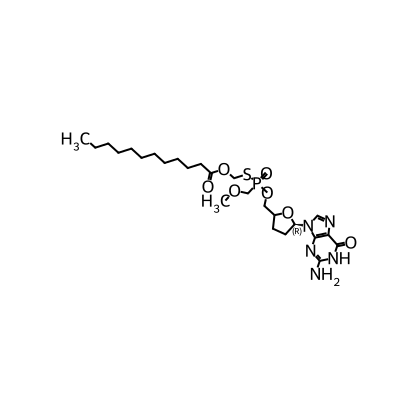 CCCCCCCCCCCC(=O)OCSP(=O)(COC)OCC1CC[C@H](n2cnc3c(=O)[nH]c(N)nc32)O1